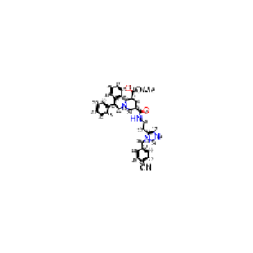 COC(=O)C1CC(C(=O)NCCc2cncn2Cc2ccc(C#N)cc2)CN(CC(c2ccccc2)c2ccccc2)C1